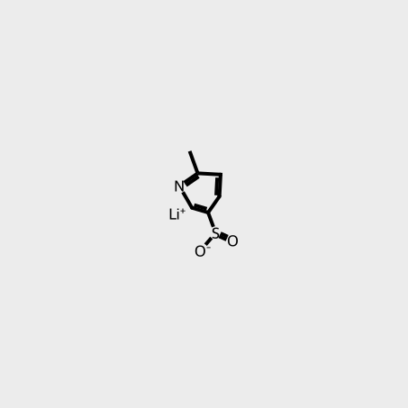 Cc1ccc(S(=O)[O-])cn1.[Li+]